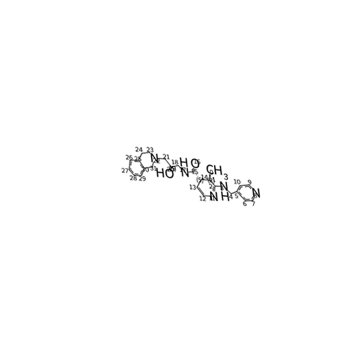 C[C@H]1C(NCc2ccncc2)=NC=C[C@@H]1C(=O)NC[C@H](O)CN1CCc2ccccc2C1